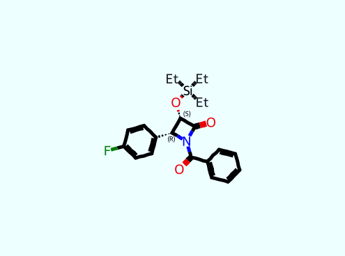 CC[Si](CC)(CC)O[C@@H]1C(=O)N(C(=O)c2ccccc2)[C@@H]1c1ccc(F)cc1